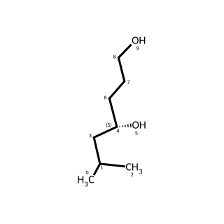 CC(C)C[C@@H](O)CCCO